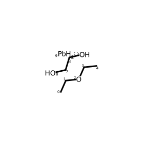 CCOCC.OCCO.[PbH2]